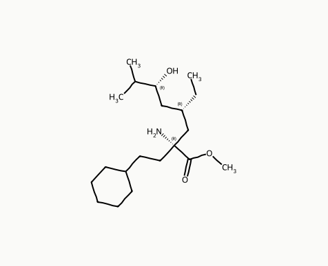 CC[C@@H](C[C@@H](O)C(C)C)C[C@](N)(CCC1CCCCC1)C(=O)OC